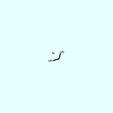 CCCCCCC.[N]